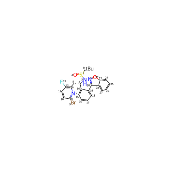 CC(C)(C)[S@+]([O-])N[C@@H](Cc1nc(Br)ccc1F)c1ccccc1-c1noc2ccccc12